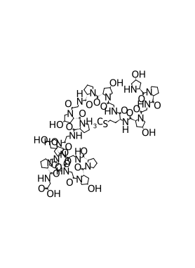 CSCC[C@H](NC(=O)[C@@H]1C[C@@H](O)CN1C(=O)CNC(=O)[C@@H]1CCCN1C(=O)[C@@H]1C[C@@H](O)CN1)C(=O)NCC(=O)N1C[C@H](O)C[C@H]1C(=O)N1CCC[C@H]1C(=O)NCC(=O)N1C[C@H](O)C[C@H]1C(=O)N1CCC[C@H]1C(=O)NCC(=O)N1C[C@H](O)C[C@H]1C(=O)N1CCC[C@H]1C(=O)NCC(=O)N1C[C@H](O)C[C@H]1C(=O)N1CCC[C@H]1C(=O)NCC(=O)N1C[C@H](O)C[C@H]1C(=O)N1CCC[C@H]1C(=O)NCC(=O)O